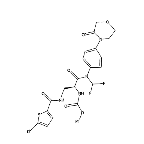 CC(C)OC(=O)N[C@@H](CNC(=O)c1ccc(Cl)s1)C(=O)N(c1ccc(N2CCOCC2=O)cc1)C(F)F